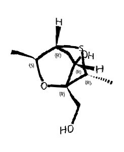 C[C@@H]1O[C@@]2(CO)[C@@H](C)S[C@@H]1[C@@H]2O